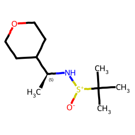 C[C@H](N[S+]([O-])C(C)(C)C)C1CCOCC1